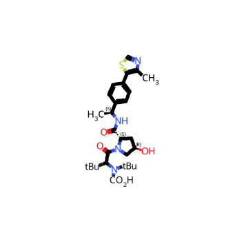 Cc1ncsc1-c1ccc([C@H](C)NC(=O)[C@@H]2C[C@@H](O)CN2C(=O)C(N(C(=O)O)C(C)(C)C)C(C)(C)C)cc1